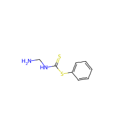 NCNC(=S)Sc1ccccc1